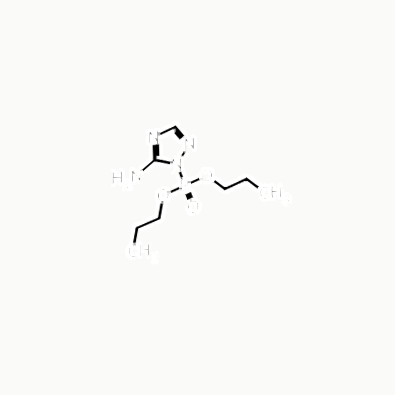 CCCOP(=O)(OCCC)n1ncnc1N